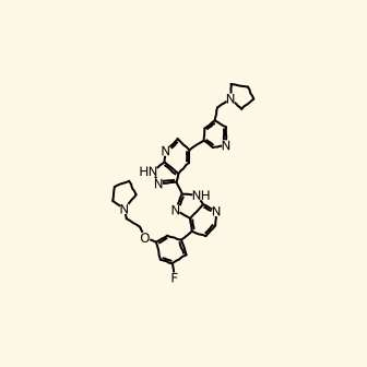 Fc1cc(OCCN2CCCC2)cc(-c2ccnc3[nH]c(-c4n[nH]c5ncc(-c6cncc(CN7CCCC7)c6)cc45)nc23)c1